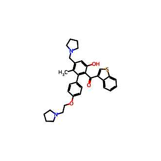 Cc1c(CN2CCCC2)cc(O)c(C(=O)c2csc3ccccc23)c1-c1ccc(OCCN2CCCC2)cc1